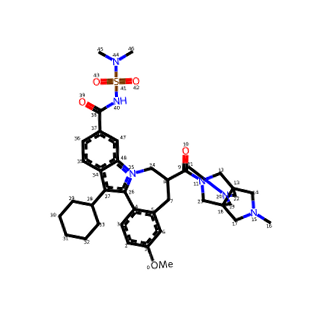 COc1ccc2c(c1)CC(C(=O)N1CC34CN(C)CC3(CN(C)C4)C1)Cn1c-2c(C2CCCCC2)c2ccc(C(=O)NS(=O)(=O)N(C)C)cc21